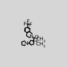 CC(C)[C@]1(C(=O)N2CCc3ccc(C(F)(F)F)cc3C2)CC[C@@H](N2CCCC2)C1